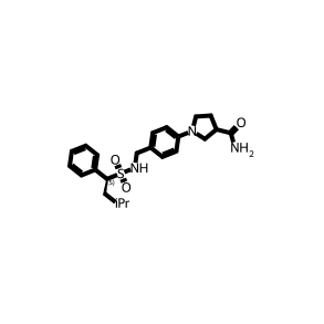 CC(C)C[C@@H](c1ccccc1)S(=O)(=O)NCc1ccc(N2CCC(C(N)=O)C2)cc1